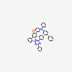 c1ccc(-c2ccc(N(c3ccccc3)c3ccc4oc5cc(-c6ccccc6-c6nc(-c7ccccc7)nc(-c7ccccc7)n6)ccc5c4c3)cc2)cc1